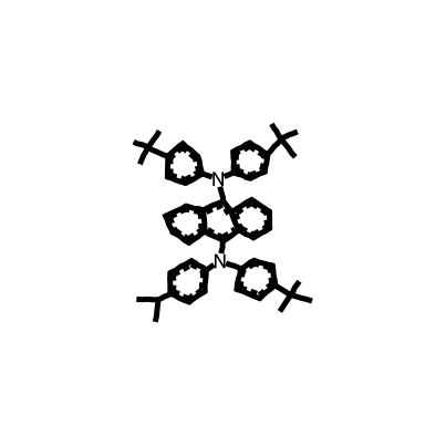 CC(C)c1ccc(N(c2ccc(C(C)(C)C)cc2)c2c3ccccc3c(N(c3ccc(C(C)(C)C)cc3)c3ccc(C(C)(C)C)cc3)c3ccccc23)cc1